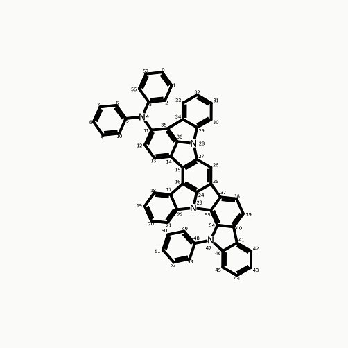 c1ccc(N(c2ccccc2)c2ccc3c4c5c6ccccc6n6c5c(cc4n4c5ccccc5c2c34)c2ccc3c4ccccc4n(-c4ccccc4)c3c26)cc1